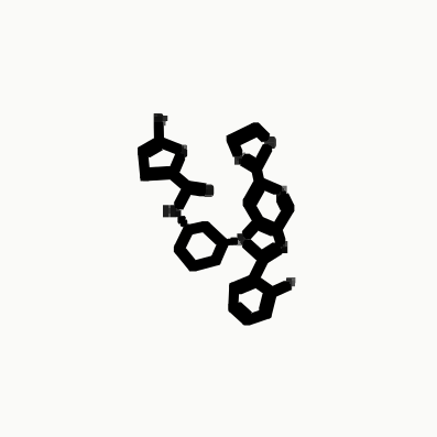 O=C(N[C@H]1CCC[C@@H](n2c(-c3ccccc3F)nc3cnc(-c4ncco4)cc32)C1)c1ccc(Br)s1